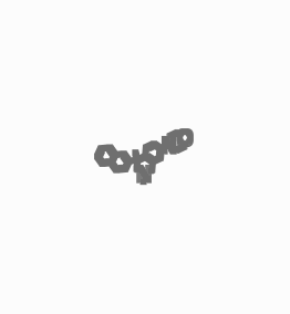 CN1Cc2cc(N3CCOCC3)ccc2C(C)(c2ccc3ccccc3c2)C1